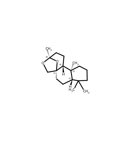 CC1(C)CCC[C@@]2(C)[C@H]1CC[C@@]13CO[C@@](C)(CC[C@@H]12)O3